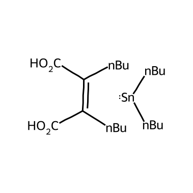 CCCC/C(C(=O)O)=C(\CCCC)C(=O)O.CCC[CH2][Sn][CH2]CCC